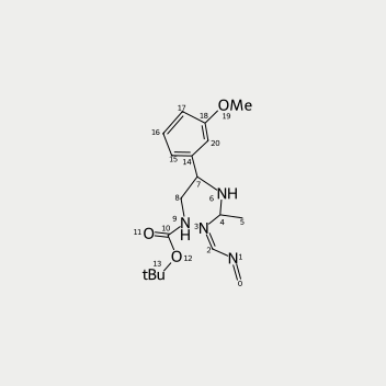 C=N/C=N\C(C)NC(CNC(=O)OC(C)(C)C)c1cccc(OC)c1